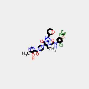 CCc1c(N2CCN(C(=O)c3ncnc(C)c3O)CC2)c(=O)n2nc(C3=CCCCOC3)nc2n1CC(=O)Nc1ccc(SC(F)(F)F)cc1Cl